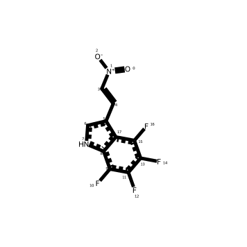 O=[N+]([O-])C=Cc1c[nH]c2c(F)c(F)c(F)c(F)c12